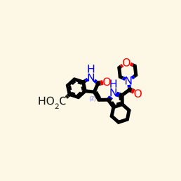 O=C1Nc2ccc(C(=O)O)cc2/C1=C/c1[nH]c(C(=O)N2CCOCC2)c2c1CCCC2